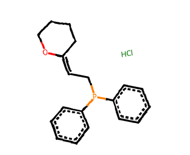 C(CP(c1ccccc1)c1ccccc1)=C1CCCCO1.Cl